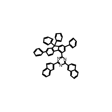 c1ccc(-c2ccc3c(c2)C(c2ccccc2)(c2ccccc2)c2cc(-c4ccccc4)cc(-c4nc(-c5ccc6ccccc6c5)nc(-c5ccc6ccccc6c5)n4)c2-3)cc1